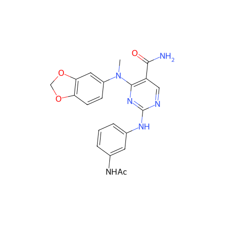 CC(=O)Nc1cccc(Nc2ncc(C(N)=O)c(N(C)c3ccc4c(c3)OCO4)n2)c1